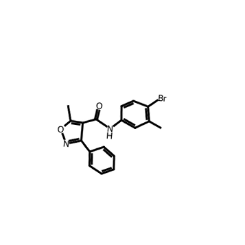 Cc1cc(NC(=O)c2c(-c3ccccc3)noc2C)ccc1Br